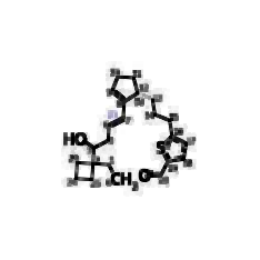 CCC1(C(O)C/C=C/C2=CCC[C@@H]2CCCc2ccc(C=O)s2)CCC1